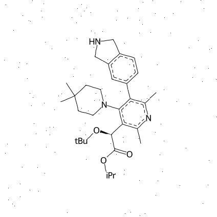 Cc1nc(C)c([C@H](OC(C)(C)C)C(=O)OC(C)C)c(N2CCC(C)(C)CC2)c1-c1ccc2c(c1)CNC2